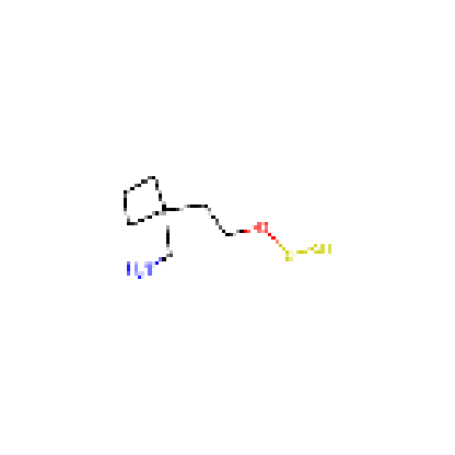 NCC1(CCOSS)CCC1